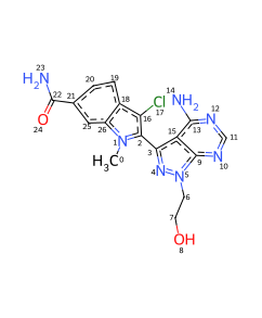 Cn1c(-c2nn(CCO)c3ncnc(N)c23)c(Cl)c2ccc(C(N)=O)cc21